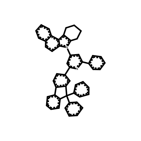 c1ccc(-c2cc(-n3c4c(c5c6ccccc6ccc53)CCCC4)cc(-c3ccc4c(c3)C(c3ccccc3)(c3ccccc3)c3ccccc3-4)n2)cc1